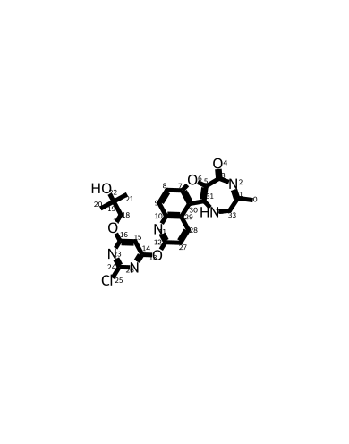 CC1=NC(=O)c2oc3ccc4nc(Oc5cc(OCC(C)(C)O)nc(Cl)n5)ccc4c3c2NC1